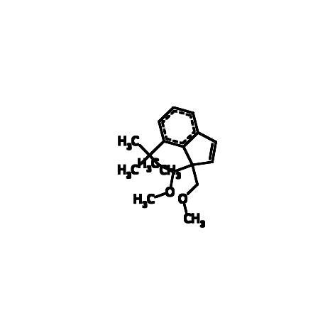 COCC1(C(C)OC)C=Cc2cccc(C(C)(C)C)c21